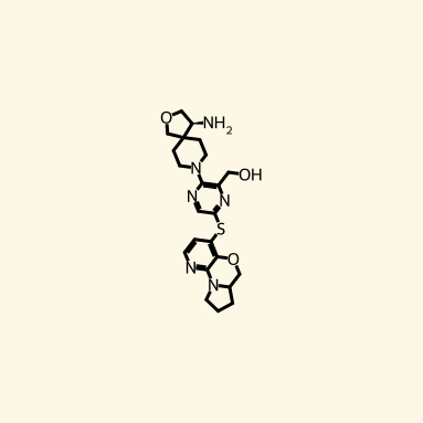 N[C@@H]1COCC12CCN(c1ncc(Sc3ccnc4c3OCC3CCCN43)nc1CO)CC2